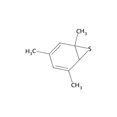 CC1=CC2(C)SC2C(C)=C1